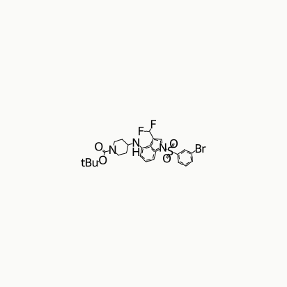 CC(C)(C)OC(=O)N1CCC(Nc2cccc3c2c(C(F)F)cn3S(=O)(=O)c2cccc(Br)c2)CC1